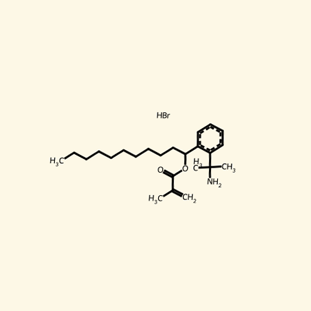 Br.C=C(C)C(=O)OC(CCCCCCCCCC)c1ccccc1C(C)(C)N